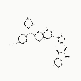 CC(C)(C)c1ccc(N(c2ccc(C(C)(C)C)cc2)c2ccc3cc(-c4ccc(C=C5C(=O)c6ccccc6C5=O)s4)ccc3c2)cc1